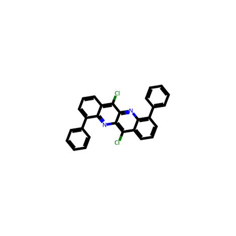 Clc1c2cccc(-c3ccccc3)c2nc2c(Cl)c3cccc(-c4ccccc4)c3nc12